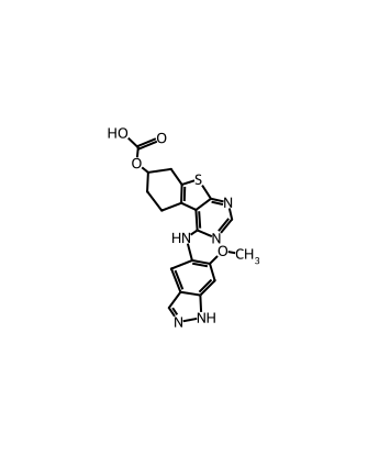 COc1cc2[nH]ncc2cc1Nc1ncnc2sc3c(c12)CCC(OC(=O)O)C3